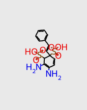 NC1=C(N)C(S(=O)(=O)O)C(C=Cc2ccccc2)(S(=O)(=O)O)C=C1